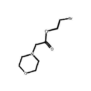 O=C(CN1CCOCC1)OCCBr